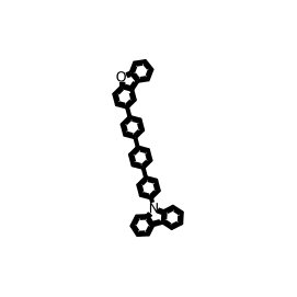 c1ccc2c(c1)oc1ccc(-c3ccc(-c4ccc(-c5ccc(-n6c7ccccc7c7ccccc76)cc5)cc4)cc3)cc12